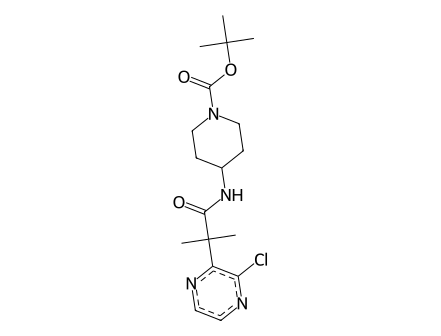 CC(C)(C)OC(=O)N1CCC(NC(=O)C(C)(C)c2nccnc2Cl)CC1